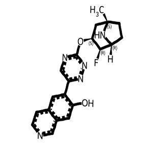 C[C@@]12CC[C@@H](N1)[C@@H](F)[C@@H](Oc1ncc(-c3cc4ccncc4cc3O)nn1)C2